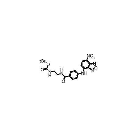 CC(C)(C)OC(=O)NCCNC(=O)c1ccc(Nc2ccc([N+](=O)[O-])c3nonc23)cc1